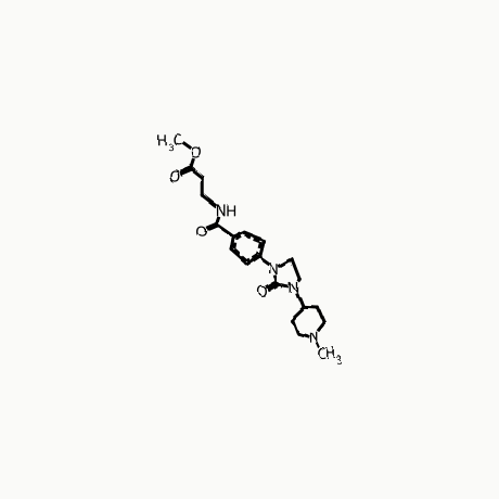 COC(=O)CCNC(=O)c1ccc(N2CCN(C3CCN(C)CC3)C2=O)cc1